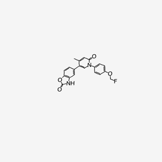 Cc1cc(=O)n(-c2ccc(OCF)cc2)cc1-c1ccc2oc(=O)[nH]c2c1